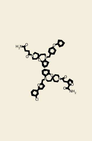 NC(=O)CCC(=O)N1CCC2(CC1)CCN(Cc1ccc(Oc3ccccc3)cc1)c1ccccc1O2.NC(=O)c1occc1CC(=O)N1CCC2(CC1)CCN(Cc1ccc(-c3cccc(Cl)c3)o1)c1ccccc1O2